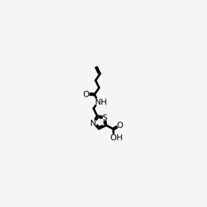 C=CCCC(=O)NCc1ncc(C(=O)O)s1